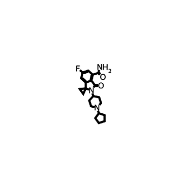 NC(=O)c1cc(F)cc2c1C(=O)N(C1CCN(C3CCCC3)CC1)C21CC1